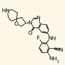 N#Cc1c(N)ccc(F)c1Nc1ccc2ncn([C@H]3COC4(CCNCC4)C3)c(=O)c2c1